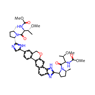 COC(=O)NC(C(=O)N1C(c2nc3ccc4cc5c(cc4c3[nH]2)OCc2cc(-c3cnc([C@@H]4CC[C@H](C)N4C(=O)[C@@H](NC(=O)OC)[C@@H](C)OC)[nH]3)ccc2-5)CC[C@@H]1C)[C@@H](C)OC